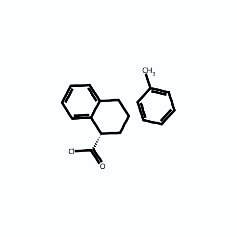 Cc1ccccc1.O=C(Cl)[C@H]1CCCc2ccccc21